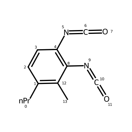 CCCc1ccc(N=C=O)c(N=C=O)c1C